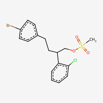 CS(=O)(=O)OCC(CCc1ccc(Br)cc1)c1ccccc1Cl